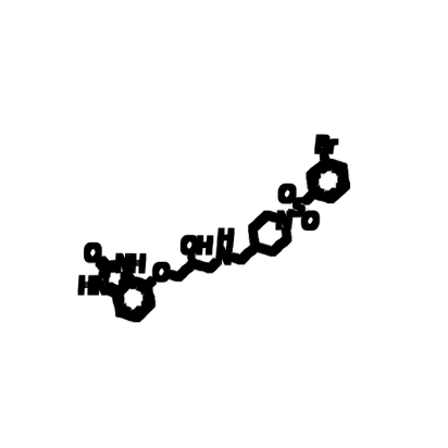 O=c1[nH]c2cccc(OC[C@@H](O)CNCC3CCN(S(=O)(=O)c4cccc(Br)c4)CC3)c2[nH]1